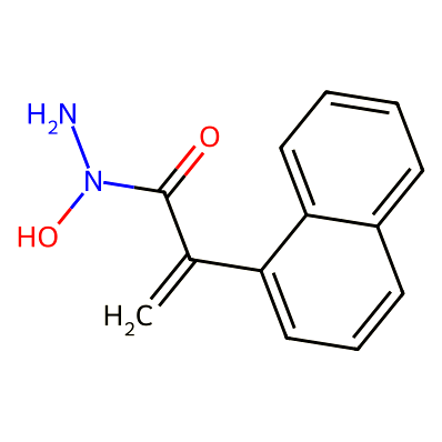 C=C(C(=O)N(N)O)c1cccc2ccccc12